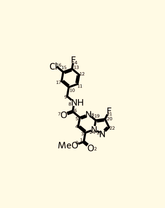 COC(=O)c1cc(C(=O)NCc2ccc(F)c(Cl)c2)nc2c(F)cnn12